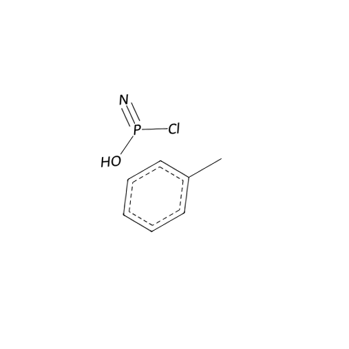 Cc1ccccc1.N#P(O)Cl